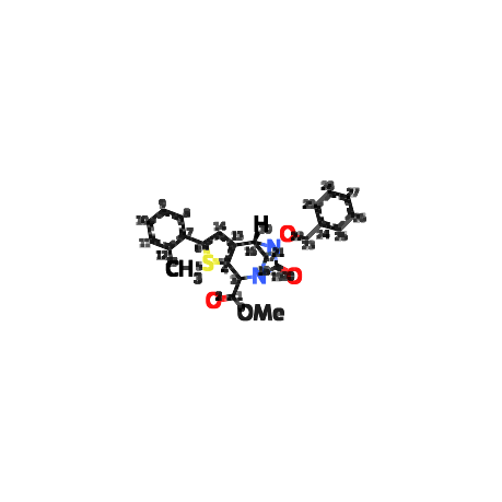 COC(=O)C1c2sc(-c3ccccc3C)cc2[C@H]2CN1C(=O)N2OCc1ccccc1